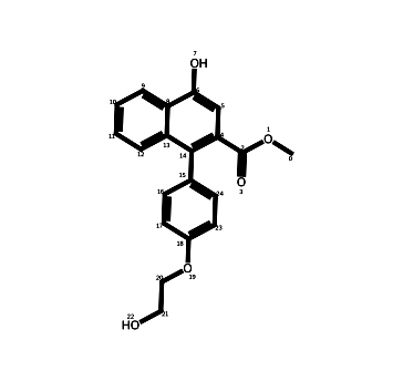 COC(=O)c1cc(O)c2ccccc2c1-c1ccc(OCCO)cc1